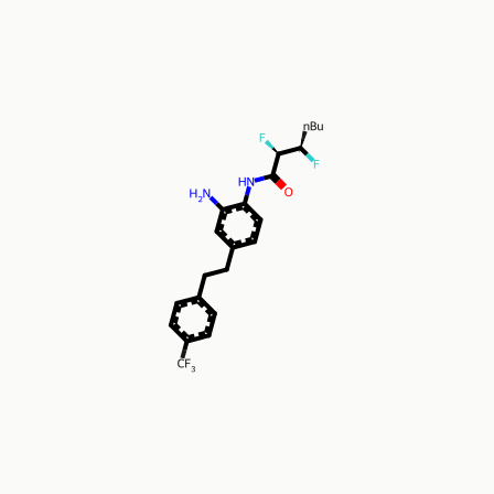 CCCC[C@@H](F)[C@H](F)C(=O)Nc1ccc(CCc2ccc(C(F)(F)F)cc2)cc1N